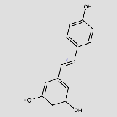 OC1=CC(/C=C/c2ccc(O)cc2)=CC(O)C1